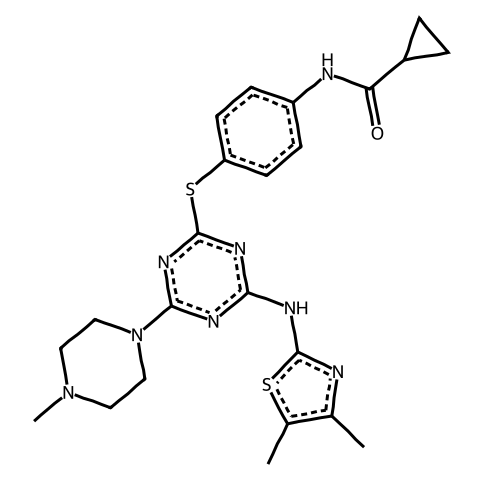 Cc1nc(Nc2nc(Sc3ccc(NC(=O)C4CC4)cc3)nc(N3CCN(C)CC3)n2)sc1C